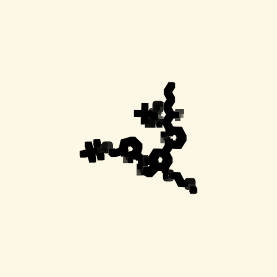 CCCCC(F)[C@H](N[S@+]([O-])C(C)(C)C)c1cccc(-c2cc(OCCOC)c3cnn(-c4cccc(CO[Si](C)(C)C(C)(C)C)n4)c3c2)n1